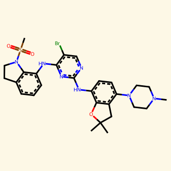 CN1CCN(c2ccc(Nc3ncc(Br)c(Nc4cccc5c4N(S(C)(=O)=O)CC5)n3)c3c2CC(C)(C)O3)CC1